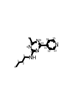 CCCCNc1nc(C)nc(-c2ccncc2)n1